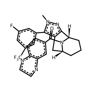 Cn1nc2c(c1-c1cc(F)cc(C(F)(F)F)c1)C[C@H]1CCC[C@@H]2N1C(=O)c1ccc2nccnc2c1